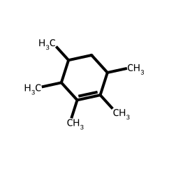 CC1=C(C)C(C)C(C)CC1C